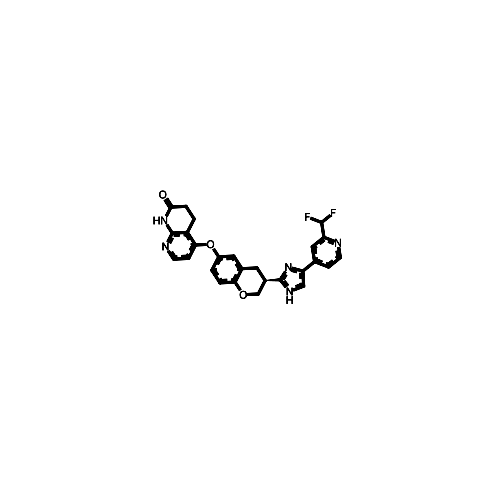 O=C1CCc2c(Oc3ccc4c(c3)C[C@@H](c3nc(-c5ccnc(C(F)F)c5)c[nH]3)CO4)ccnc2N1